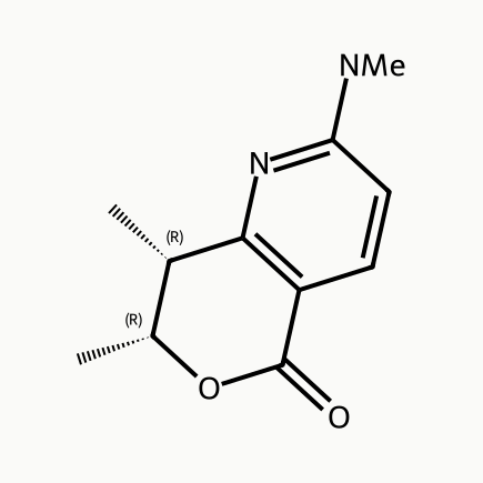 CNc1ccc2c(n1)[C@@H](C)[C@@H](C)OC2=O